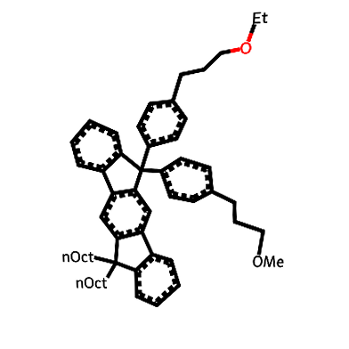 CCCCCCCCC1(CCCCCCCC)c2ccccc2-c2cc3c(cc21)-c1ccccc1C3(c1ccc(CCCOC)cc1)c1ccc(CCCOCC)cc1